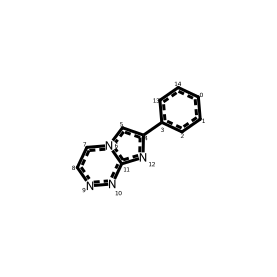 c1ccc(-c2cn3ccnnc3n2)cc1